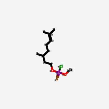 CCOP(=S)(Cl)OCCC(C)CCC=C(C)C